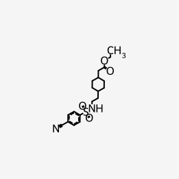 CCOC(=O)CC1CCC(CCNS(=O)(=O)c2ccc(C#N)cc2)CC1